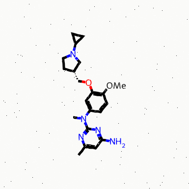 COc1ccc(N(C)c2nc(C)cc(N)n2)cc1OC[C@@H]1CCN(C2CC2)C1